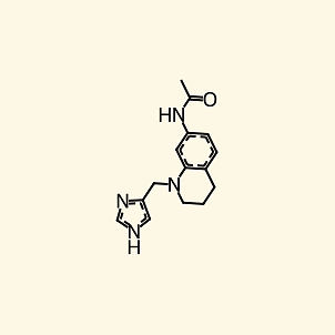 CC(=O)Nc1ccc2c(c1)N(Cc1c[nH]cn1)CCC2